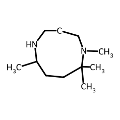 CC1CCC(C)(C)N(C)CCCN1